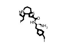 NC[C@H](Cc1ccc(CI)cc1)NC(=O)c1cc2c(s1)CCCn1ncc(CI)c1-2